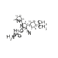 CC(C)c1ccc(-c2cc(-c3ccccn3)nc(OCC(=O)NN)c2C#N)cc1